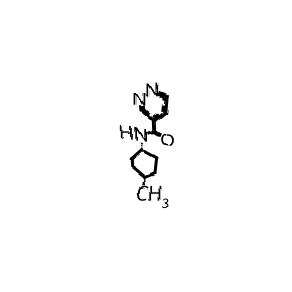 C[C@H]1CC[C@H](NC(=O)c2ccnnc2)CC1